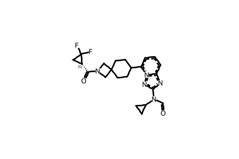 O=CN(c1nc2cccc(C3CCC4(CC3)CN(C(=O)[C@@H]3CC3(F)F)C4)n2n1)C1CC1